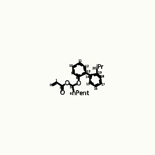 C=CC(=O)OC(CCCCC)Oc1ccccc1-c1ccccc1C(C)C